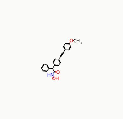 COc1ccc(C#Cc2ccc(C(C(=O)NO)c3ccccc3)cc2)cc1